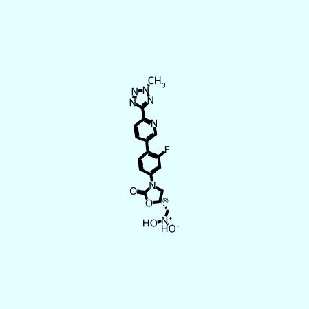 Cn1nnc(-c2ccc(-c3ccc(N4C[C@H](C[NH+]([O-])O)OC4=O)cc3F)cn2)n1